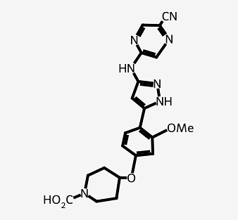 COc1cc(OC2CCN(C(=O)O)CC2)ccc1-c1cc(Nc2cnc(C#N)cn2)n[nH]1